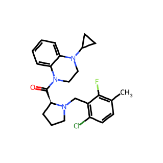 Cc1ccc(Cl)c(CN2CCC[C@H]2C(=O)N2CCN(C3CC3)c3ccccc32)c1F